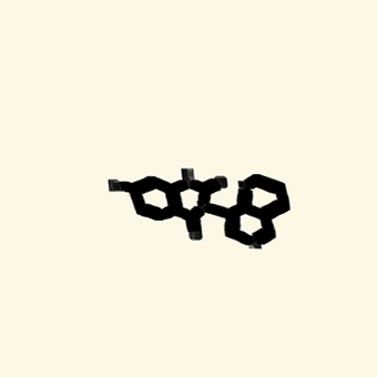 O=c1[nH]c2cc(Br)ccc2c(=O)n1-c1cncc2cccnc12